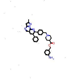 Cc1cc2ncc3cc(-c4ccccc4)c(-c4ccc(CN5CCC(C(=O)OCc6cccc(N)c6)CC5)cc4)nc3n2n1